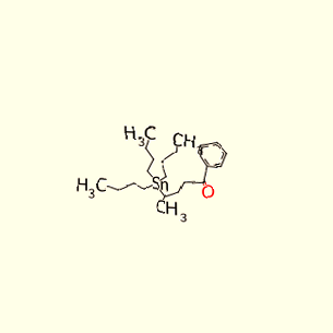 CCC[CH2][Sn]([CH2]CCC)([CH2]CCC)[CH](C)CCC(=O)c1ccccc1